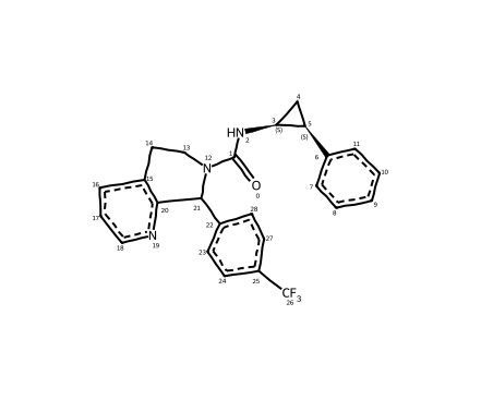 O=C(N[C@H]1C[C@H]1c1ccccc1)N1CCc2cccnc2C1c1ccc(C(F)(F)F)cc1